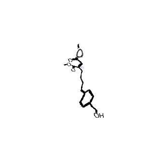 COC(=O)/C=C(/CCCCc1ccc(CO)cc1)C(=O)OC